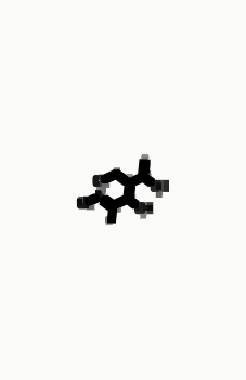 C=C(O)C(CCl)=C(O)C(C)=NCl